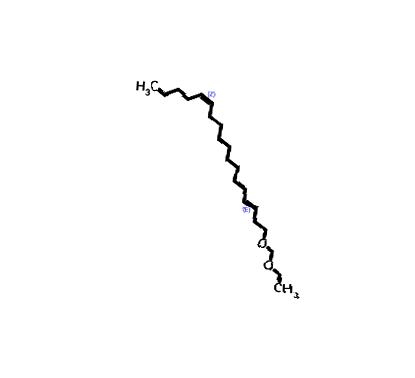 CCCC/C=C\CCCCCCCC/C=C/CCOCOCC